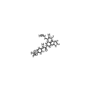 CC1N/C(=C\C=N)c2cc(C(=O)Nc3ccc(OC(F)(F)Cl)cc3)cc3c2N1C1C=CCC31